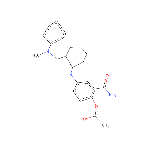 CC(O)Oc1ccc(NC2CCCCC2CN(C)c2ccccc2)cc1C(N)=O